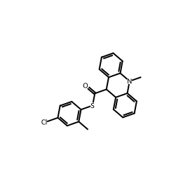 Cc1cc(Cl)ccc1SC(=O)C1c2ccccc2N(C)c2ccccc21